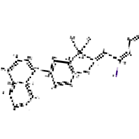 C=C/C=C(I)\C=C1/Cc2ccc(-c3cccc4ccccc34)cc2C1(C)C